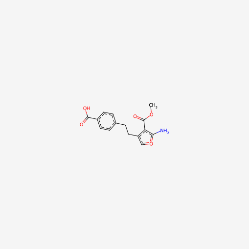 COC(=O)c1c(CCc2ccc(C(=O)O)cc2)coc1N